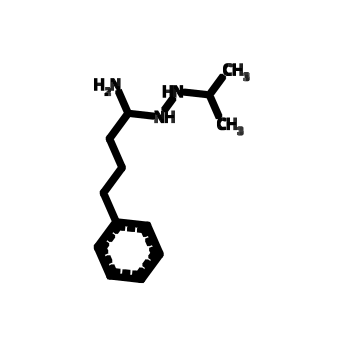 CC(C)NNC(N)CCCc1ccccc1